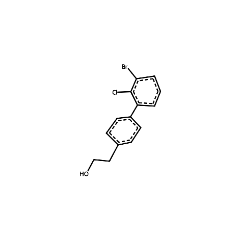 OCCc1ccc(-c2cccc(Br)c2Cl)cc1